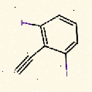 [C]#Cc1c(I)cccc1I